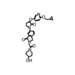 O=C(CN1Cc2ccc(N3CC[C@@H](Oc4ccc(OCC5CC5)nc4)C3=O)cc2C1=O)N1CCC(O)CC1